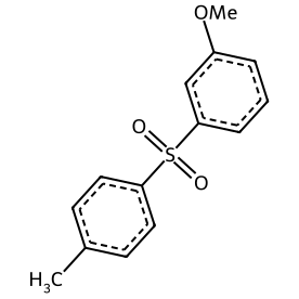 COc1cccc(S(=O)(=O)c2ccc(C)cc2)c1